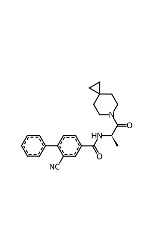 C[C@@H](NC(=O)c1ccc(-c2ccccc2)c(C#N)c1)C(=O)N1CCC2(CC1)CC2